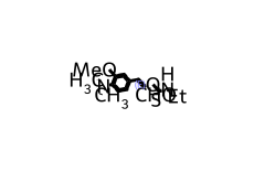 CCNC(=S)O/C(C=O)=C/c1ccc(N(C)C)c(OC)c1